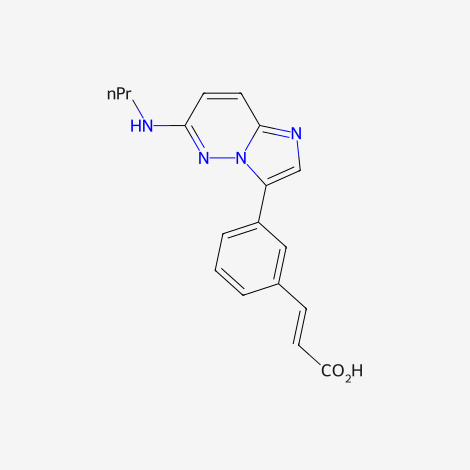 CCCNc1ccc2ncc(-c3cccc(C=CC(=O)O)c3)n2n1